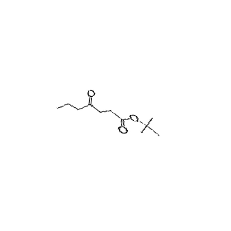 CCCC(=O)CCC(=O)OC(C)(C)C